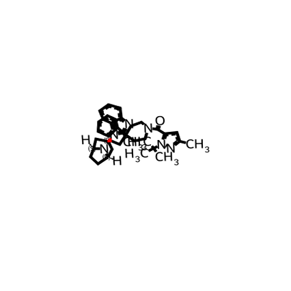 Cc1cc(C(=O)N2CCC(CCN3[C@@H]4CC[C@H]3C[C@@H](n3c(C)nc5ccccc53)C4)(c3ccccc3)CC2)n(C(C)(C)C)n1